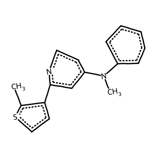 Cc1sccc1-c1cc(N(C)c2ccccc2)ccn1